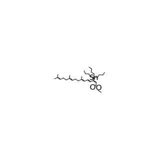 CCC[CH2][Sn]([CH2]CCC)([CH2]CCC)[C](/C=C/C=C(\C)CC/C=C(\C)CCC=C(C)C)=C/C(=O)OCC